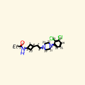 CCC(=O)NC1CC(CCN2CCN(c3cccc(Cl)c3Cl)CC2)C1